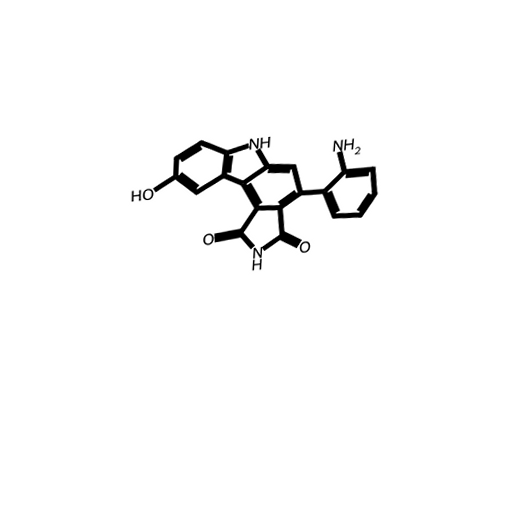 Nc1ccccc1-c1cc2[nH]c3ccc(O)cc3c2c2c1C(=O)NC2=O